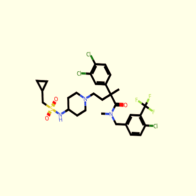 CN(Cc1ccc(Cl)c(C(F)(F)F)c1)C(=O)C(C)(CCN1CCC(NS(=O)(=O)CC2CC2)CC1)c1ccc(Cl)c(Cl)c1